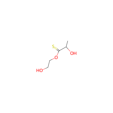 CC(O)C(=S)OCCO